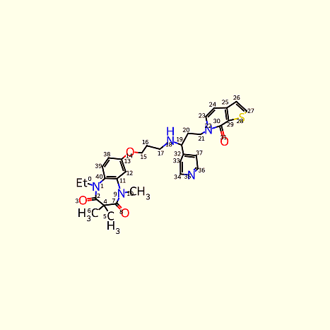 CCN1C(=O)C(C)(C)C(=O)N(C)c2cc(OCCCNC(CCn3ccc4ccsc4c3=O)c3ccncc3)ccc21